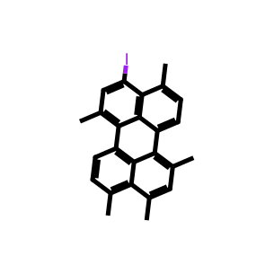 Cc1ccc2c3c(C)cc(I)c4c(C)ccc(c5c(C)cc(C)c1c25)c43